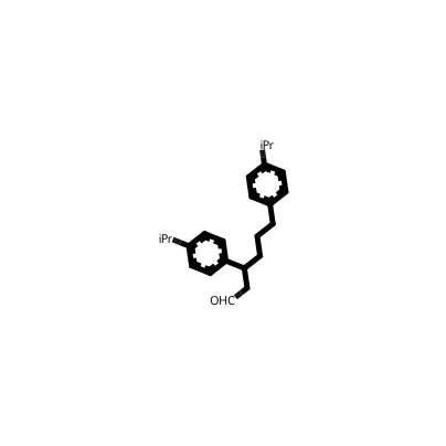 CC(C)c1ccc(CCCC(CC=O)c2ccc(C(C)C)cc2)cc1